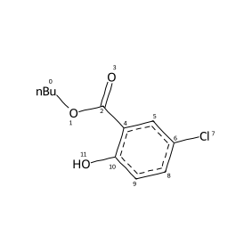 CCCCOC(=O)c1cc(Cl)ccc1O